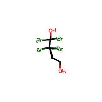 OCCC(Br)(Br)C(O)(Br)Br